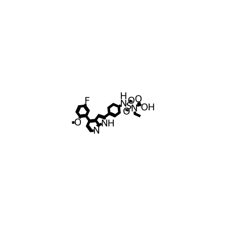 CCN(C(=O)O)S(=O)(=O)NC1CC=C(c2cc3c(-c4cc(F)ccc4OC)ccnc3[nH]2)CC1